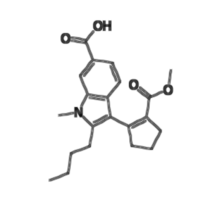 CCCCc1c(C2=C(C(=O)OC)CCC2)c2ccc(C(=O)O)cc2n1C